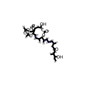 CCC(O)C(C)C1OC1CC(C)/C=C/C=C(\C)C1OC(=O)CC(O)CCC(COC(C)=O)(N=O)C(OC(C)=O)/C=C/C1C